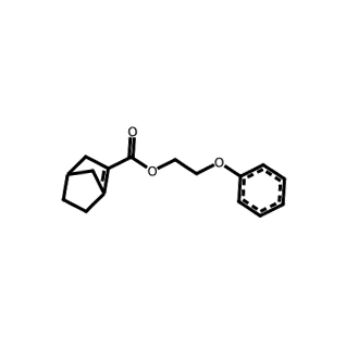 O=C(OCCOc1ccccc1)C1=C2CCC(C2)C1